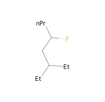 CCCC(F)CC(CC)CC